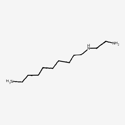 NCCNCCCCCCCCC[SiH3]